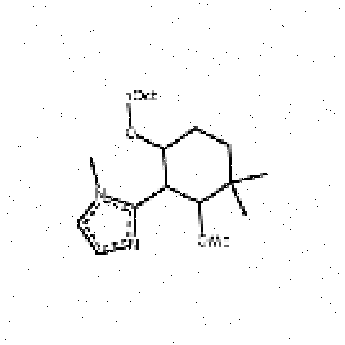 CCCCCCCCOC1CCC(C)(C)C(OC)C1c1nccn1C